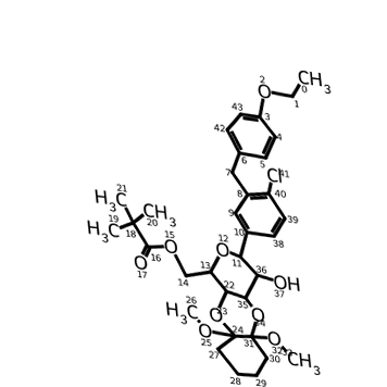 CCOc1ccc(Cc2cc(C3OC(COC(=O)C(C)(C)C)C4OC5(OC)CCCCC5(OC)OC4C3O)ccc2Cl)cc1